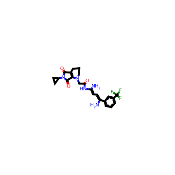 N/C(=C\C=C(/N)NC(=O)CN1CCCC2=C1C(=O)N(C1CC1)C2=O)c1cccc(C(F)(F)F)c1